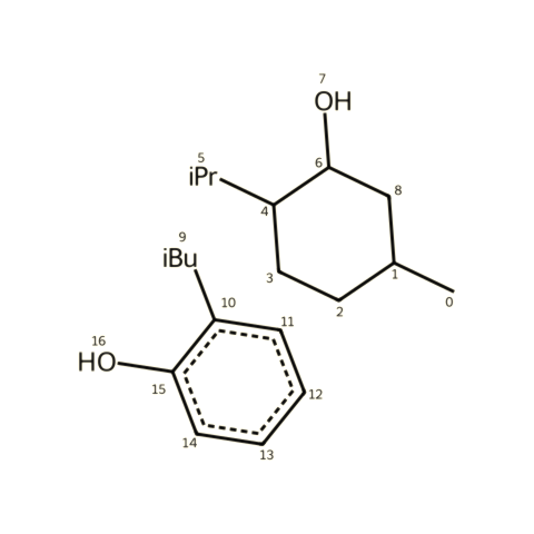 CC1CCC(C(C)C)C(O)C1.CCC(C)c1ccccc1O